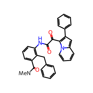 CNC(=O)c1cccc(NC(=O)C(=O)c2c(-c3ccccc3)cc3ccccn23)c1Cc1ccccc1